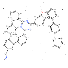 N#Cc1cccc(-c2cccc(-c3nc(-c4ccc5c(c4)oc4cccc(-c6ccc(-c7ccccc7)cc6)c45)nc(-c4ccccc4-c4ccccc4)n3)c2)c1